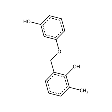 Cc1cccc(COc2cccc(O)c2)c1O